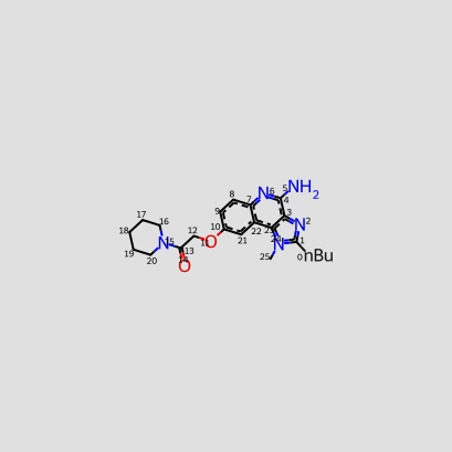 CCCCc1nc2c(N)nc3ccc(OCC(=O)N4CCCCC4)cc3c2n1C